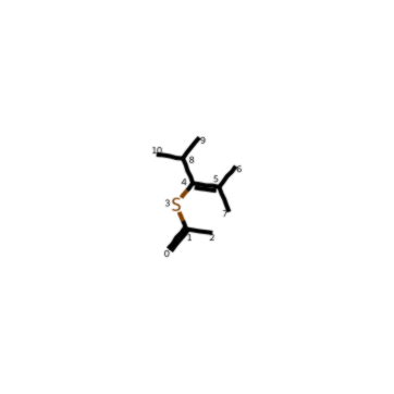 C=C(C)SC(=C(C)C)C(C)C